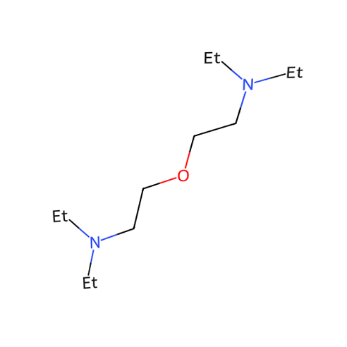 CCN(CC)CCOCCN(CC)CC